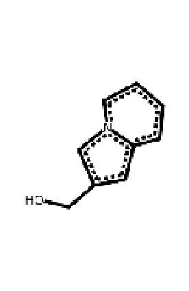 OCc1cc2ccccn2c1